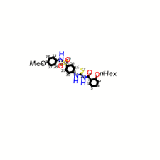 CCCCCCOc1ccccc1C(=O)NC(=S)Nc1ccc(S(=O)(=O)Nc2ccc(OC)cc2)cc1